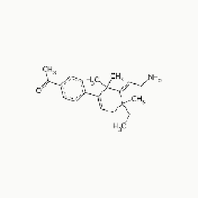 CCC1(C)CC=C(c2ccc(C(C)=O)cc2)C(C)(C)/C1=C/CN